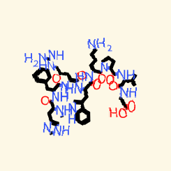 CNC(Cc1c[nH]cn1)C(=O)NC(Cc1ccccc1)C(=O)NC(CCCNC(=N)N)C(=O)NC(Cc1c[nH]c2ccccc12)C(=O)NC(CCCCN)C(=O)N1CCCC1C(=O)NC(C(=O)NCC(=O)O)C(C)C